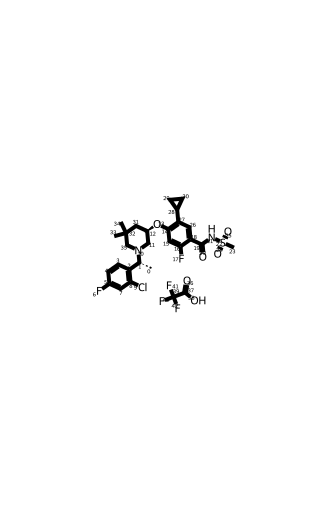 C[C@H](c1ccc(F)cc1Cl)N1C[C@H](Oc2cc(F)c(C(=O)NS(C)(=O)=O)cc2C2CC2)CC(C)(C)C1.O=C(O)C(F)(F)F